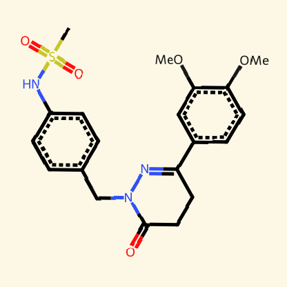 COc1ccc(C2=NN(Cc3ccc(NS(C)(=O)=O)cc3)C(=O)CC2)cc1OC